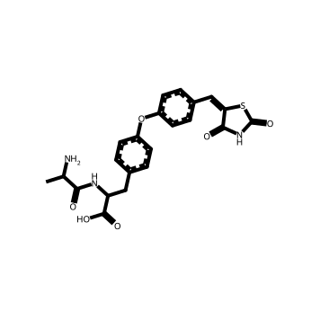 CC(N)C(=O)NC(Cc1ccc(Oc2ccc(C=C3SC(=O)NC3=O)cc2)cc1)C(=O)O